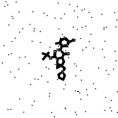 Cc1ccc(Br)nc1NC(=O)C1CC2(CN3CCCC3)CC2N1C(=O)OC(C)(C)C